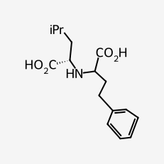 CC(C)C[C@H](NC(CCc1ccccc1)C(=O)O)C(=O)O